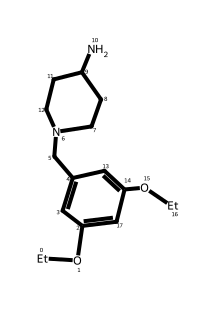 CCOc1cc(CN2CCC(N)CC2)cc(OCC)c1